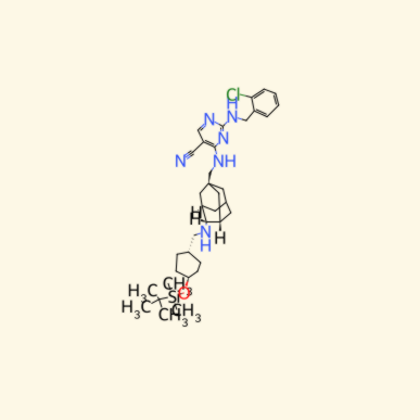 CC(C)(C)[Si](C)(C)O[C@H]1CC[C@H](CN[C@@H]2[C@@H]3CC4C[C@H]2C[C@@](CNc2nc(NCc5ccccc5Cl)ncc2C#N)(C4)C3)CC1